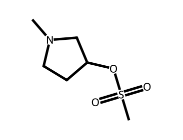 CN1CCC(OS(C)(=O)=O)C1